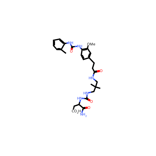 COc1cc(CCC(=O)NCC(C)(C)CNC(=O)NC(CC(=O)O)C(N)=O)ccc1NC(=O)Nc1ccccc1C